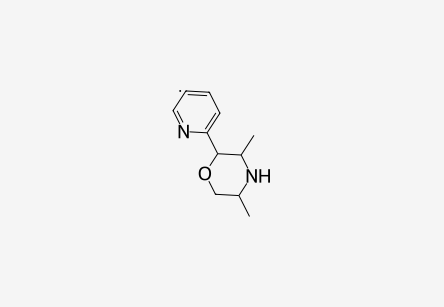 CC1COC(c2cc[c]cn2)C(C)N1